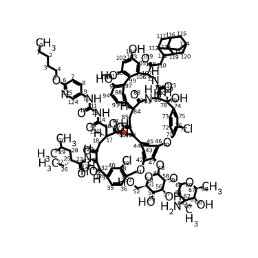 CCCCCOc1ccc(NC(=O)NC(=O)C[C@@H]2CC(=O)[C@H](NC(=O)[C@H](CC)CC(C)C)[C@H](O)c3ccc(c(Cl)c3)Oc3cc4cc(c3O[C@@H]3O[C@H](CO)[C@@H](O)[C@H](O)[C@H]3O[C@H]3C[C@](C)(N)[C@H](O)[C@H](C)O3)Oc3ccc(cc3Cl)[C@@H](O)[C@@H]3NC(=O)[C@H](CC(=O)[C@@H]4NC2=O)c2ccc(O)c(c2)-c2c(O)cc(O)cc2[C@@H](C(=O)CC2C4CC5CC(C4)CC2C5)NC3=O)cn1